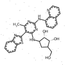 Cc1nc(Nc2cccc3cccnc23)nc(NC2CC(CO)[C@@H](O)[C@H]2O)c1-c1nc2ccccc2s1